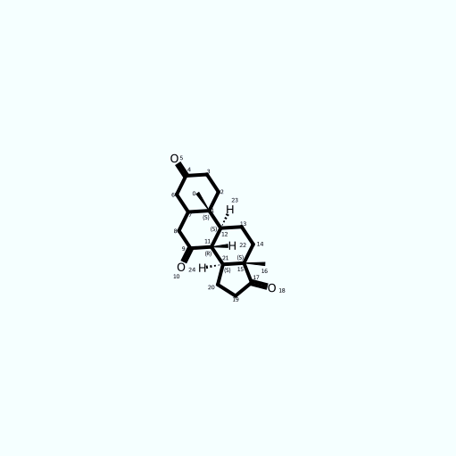 C[C@]12CCC(=O)CC1CC(=O)[C@@H]1[C@@H]2CC[C@]2(C)C(=O)CC[C@@H]12